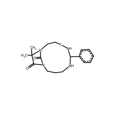 CC1(C)C(=O)N2CCCNC(c3ccccc3)NCCCN1C2=O